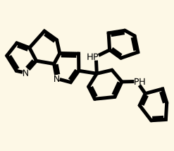 C1=CC(Pc2ccccc2)(c2cnc3c(ccc4cccnc43)c2)CC(Pc2ccccc2)=C1